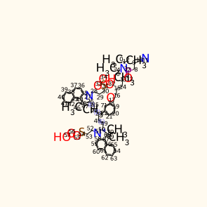 CC(C)N(C(C)C)P(CCC#N)OCCCCOc1cccc(C(=C\C=C2\N(CCCS(=O)(=O)O)c3ccc4ccccc4c3C2(C)C)/C=C/C2=[N+](CCSOOO)c3ccc4ccccc4c3C2(C)C)c1